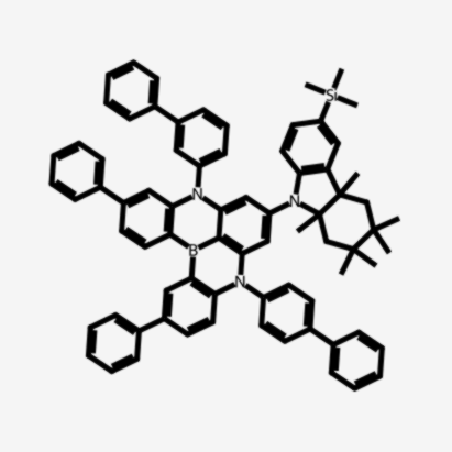 CC1(C)CC2(C)c3cc([Si](C)(C)C)ccc3N(c3cc4c5c(c3)N(c3cccc(-c6ccccc6)c3)c3cc(-c6ccccc6)ccc3B5c3cc(-c5ccccc5)ccc3N4c3ccc(-c4ccccc4)cc3)C2(C)CC1(C)C